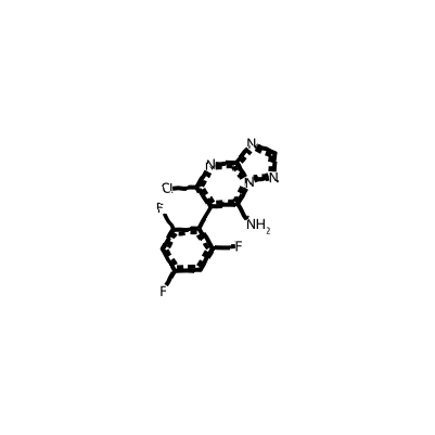 Nc1c(-c2c(F)cc(F)cc2F)c(Cl)nc2ncnn12